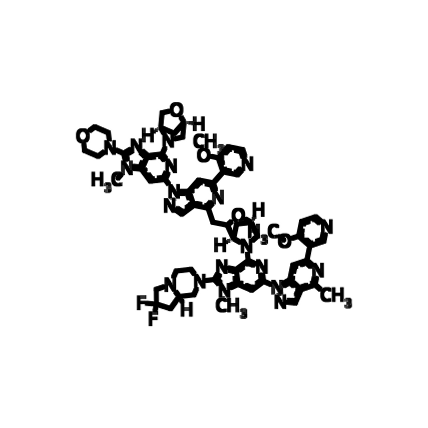 COc1ccncc1-c1cc2c(cnn2-c2cc3c(nc(N4CCN5CC(F)(F)C[C@H]5C4)n3C)c(N3C[C@H]4C[C@@H]3C(Cc3nc(-c5cnccc5OC)cc5c3cnn5-c3cc5c(nc(N6CCOCC6)n5C)c(N5C[C@H]6C[C@@H]5CO6)n3)O4)n2)c(C)n1